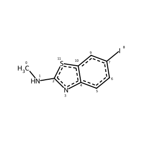 CNc1nc2ccc(I)cc2s1